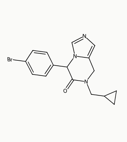 O=C1C(c2ccc(Br)cc2)n2cncc2CN1CC1CC1